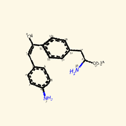 N#CC(=Cc1ccc(N)cc1)c1ccc(CC(N)C(=O)O)cc1